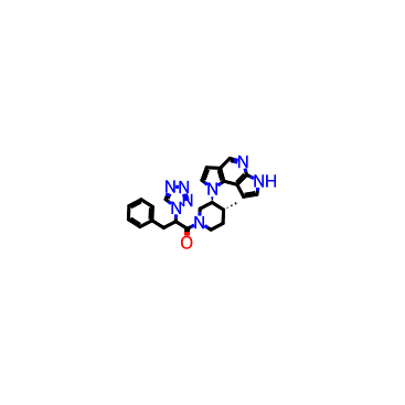 C[C@@H]1CCN(C(=O)C(Cc2ccccc2)n2cnnn2)C[C@@H]1n1ccc2cnc3[nH]ccc3c21